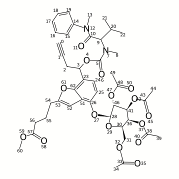 C#CCC(OC(=O)N(C)C(C(=O)N(C)c1ccccc1)C(C)C)c1ccc(O[C@@H]2O[C@H](COC(C)=O)[C@H](OC(C)=O)[C@H](OC(C)=O)[C@H]2OC(C)=O)c2cc(CCCC(=O)OC)oc12